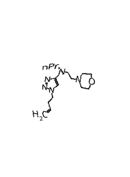 C=CCCn1cc(N(CCC)CCN2CCOCC2)nn1